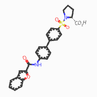 O=C(Nc1ccc(-c2ccc(S(=O)(=O)N3CCC[C@@H]3C(=O)O)cc2)cc1)c1cc2ccccc2o1